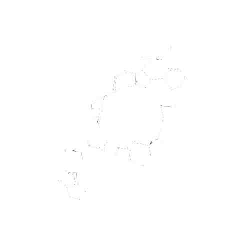 CCn1c(-c2cccnc2[C@H](C)OC)c2c3cc(ccc31)-c1csc(n1)C[C@H](NC(=O)[C@@H](Oc1ncc3n1CCC3)C(C)C)C(=O)N1CCC[C@H](N1)C(=O)OCC(C)(C)C2